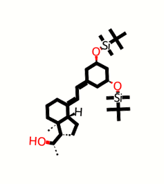 C[C@H](O)[C@H]1CC[C@H]2/C(=C/C=C3C[C@@H](O[Si](C)(C)C(C)(C)C)C[C@H](O[Si](C)(C)C(C)(C)C)C3)CCC[C@]12C